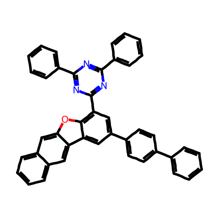 c1ccc(-c2ccc(-c3cc(-c4nc(-c5ccccc5)nc(-c5ccccc5)n4)c4oc5cc6ccccc6cc5c4c3)cc2)cc1